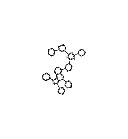 c1ccc(-c2cccc(-c3nc(-c4ccccc4)nc(-c4cccc(-c5cccc6c5cc(-c5ccccc5)c5c(-c7ccccc7)nn(-c7ccccc7)c56)c4)n3)c2)cc1